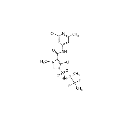 Cc1cc(NC(=O)c2c(Cl)c(S(=O)(=O)N[C@H](C)C(C)(F)F)cn2C)cc(Cl)n1